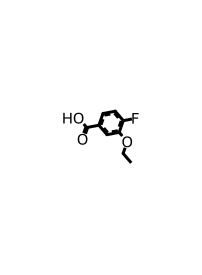 CCOc1cc(C(=O)O)ccc1F